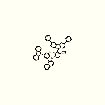 N#Cc1ccc(-n2c3ccc(-n4c5ccccc5c5ccccc54)cc3c3c4ccccc4ccc32)c(C#N)c1-n1c2ccc(-c3ccccc3)cc2c2cc(-c3ccccc3)ccc21